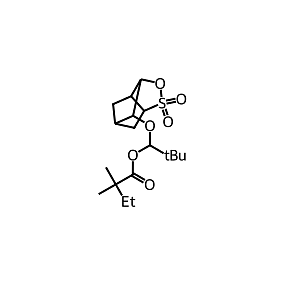 CCC(C)(C)C(=O)OC(OC1C2CC3C1OS(=O)(=O)C3C2)C(C)(C)C